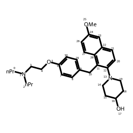 CCCN(CCC)CCOc1ccc(Cc2c(N3CCC(O)CC3)ccc3cc(OC)ccc23)cc1